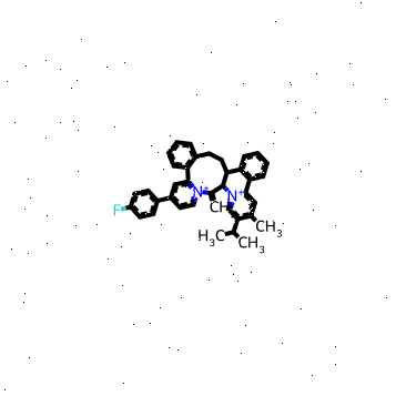 C=C1C2C(CCc3ccccc3-c3cc(-c4ccc(F)cc4)cc[n+]31)c1ccccc1-c1cc(C)c(C(C)C)c[n+]12